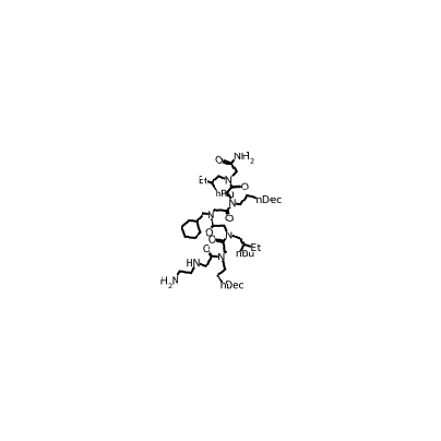 CCCCCCCCCCCCN(CC(=O)N(CC(=O)N(CC(=O)N(CCCCCCCCCCCC)CC(=O)N(CC(N)=O)CC(CC)CCCC)CC1CCCCC1)CC(CC)CCCC)C(=O)CNCCN